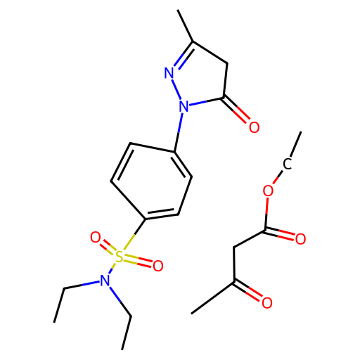 CCN(CC)S(=O)(=O)c1ccc(N2N=C(C)CC2=O)cc1.CCOC(=O)CC(C)=O